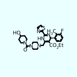 CCOC(=O)C1=C(CN2CCN(C(=O)N3CCC(O)CC3)CC2)NC(c2nccs2)=N[C@H]1c1cccc(F)c1C